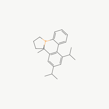 CC(C)c1cc(C(C)C)c(-c2ccccc2P2CCCC2)c(C(C)C)c1